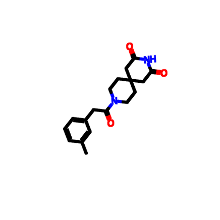 Cc1cccc(CC(=O)N2CCC3(CC2)CC(=O)NC(=O)C3)c1